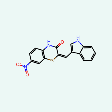 O=C1Nc2ccc([N+](=O)[O-])cc2S/C1=C/c1c[nH]c2ccccc12